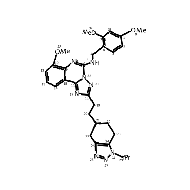 COc1ccc(CNc2nc3c(OC)cccc3c3nc(CCC4CCc5c(nnn5C(C)C)C4)nn23)c(OC)c1